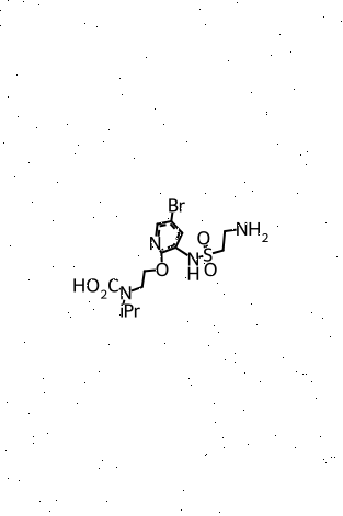 CC(C)N(CCOc1ncc(Br)cc1NS(=O)(=O)CCN)C(=O)O